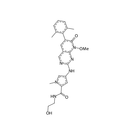 COn1c(=O)c(-c2c(C)cccc2C)cc2cnc(Nc3cc(C(=O)NCCO)n(C)c3)nc21